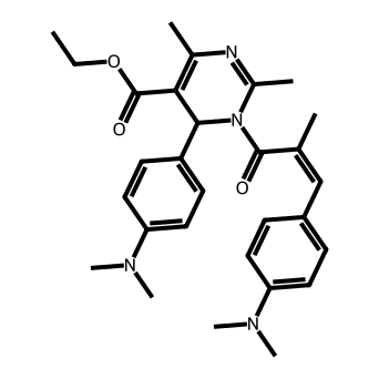 CCOC(=O)C1=C(C)N=C(C)N(C(=O)/C(C)=C\c2ccc(N(C)C)cc2)C1c1ccc(N(C)C)cc1